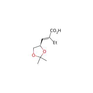 CCC(=C[C@@H]1COC(C)(C)O1)C(=O)O